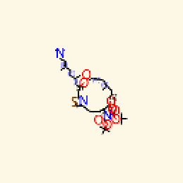 CC(/C=C/C(C)=C/[C@@H]1Cc2nc(cs2)CCC[C@H](N(C(=O)OC(C)(C)C)C(=O)OC(C)(C)C)C(=O)O[C@@H](C)C/C(C)=C/C=C\C(=O)O1)=C\CN(C)C